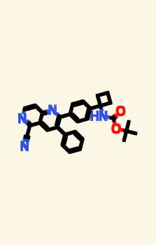 CC(C)(C)OC(=O)NC1(c2ccc(-c3nc4ccnc(C#N)c4cc3-c3ccccc3)cc2)CCC1